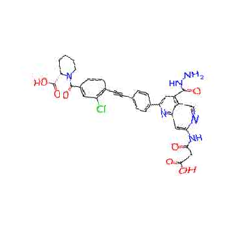 NNC(=O)c1cc(-c2ccc(C#Cc3ccc(C(=O)N4CCCC[C@H]4C(=O)O)cc3Cl)cc2)nc2cc(NC(=O)CC(=O)O)ncc12